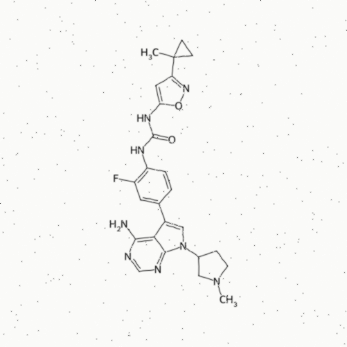 CN1CCC(n2cc(-c3ccc(NC(=O)Nc4cc(C5(C)CC5)no4)c(F)c3)c3c(N)ncnc32)C1